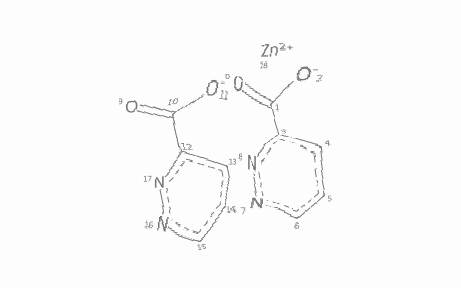 O=C([O-])c1cccnn1.O=C([O-])c1cccnn1.[Zn+2]